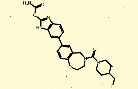 NC(=O)Oc1nc2ccc(-c3ccc4c(c3)CN(C(=O)N3CCC(CF)CC3)CCO4)cc2[nH]1